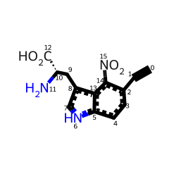 C#Cc1ccc2[nH]cc(C[C@H](N)C(=O)O)c2c1[N+](=O)[O-]